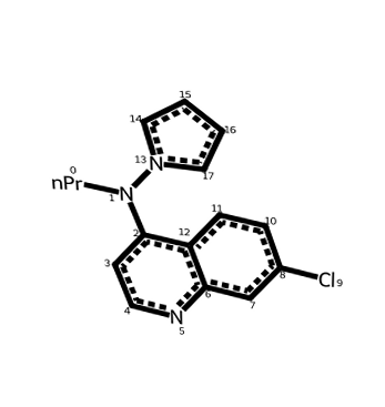 CCCN(c1ccnc2cc(Cl)ccc12)n1cccc1